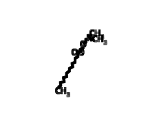 CCCCCCCCCCCCCCCC(=O)OCCOCCN(CC)CC